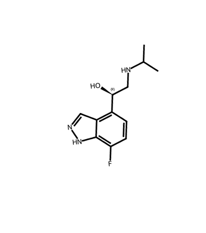 CC(C)NC[C@H](O)c1ccc(F)c2[nH]ncc12